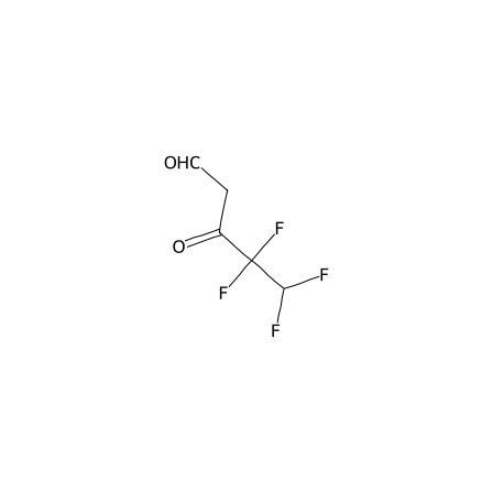 O=CCC(=O)C(F)(F)C(F)F